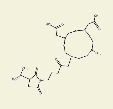 CC(C)C1CC(=O)N(CCCC(=O)CN2CCN(C)CCN(CC(=O)O)CCN(CC(=O)O)CC2)C1=O